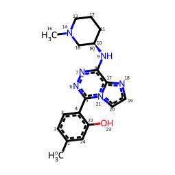 Cc1ccc(-c2nnc(N[C@@H]3CCCN(C)C3)c3nccn23)c(O)c1